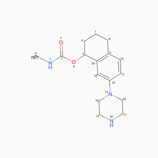 CCCNC(=O)OC1CCCc2ccc(N3CCNCC3)cc21